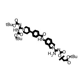 CC(C)(C)OC(=O)CC(C)(C)OC(=O)N=C(N)N1Cc2ccc(NC(=O)c3ccc(C4=CCN(C(=NC(=O)OC(C)(C)C)NC(=O)OC(C)(C)C)CC4)cc3)cc2C1